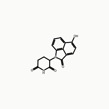 O=C1CCC(N2C(=O)c3ccc(O)c4cccc2c34)C(=O)N1